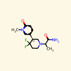 CC(C(N)=O)N1CCC(F)(F)[C@@H](c2ccc(=O)n(C)c2)C1